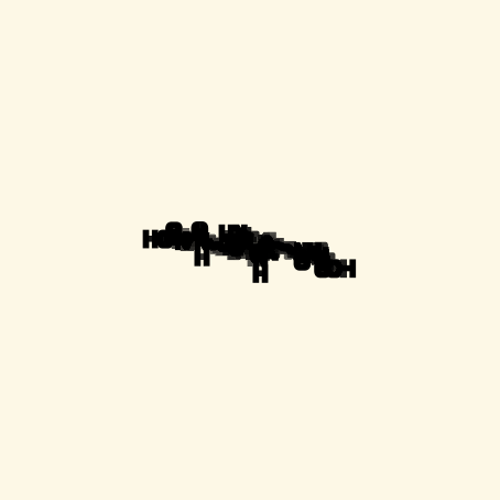 O=C(O)CN1CC(C(=O)NCCCCc2ccc3c(n2)NCCC3C2CCNc3nc(CCCCNC(=O)[C@H]4CCN(CC(=O)O)C4)ccc32)C1